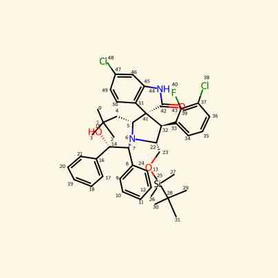 CC(C)(C)C[C@H]1N([C@H](c2ccccc2)[C@@H](O)c2ccccc2)[C@@H](CO[Si](C)(C)C(C)(C)C)[C@H](c2cccc(Cl)c2F)[C@@]12C(=O)Nc1cc(Cl)ccc12